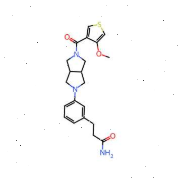 COc1cscc1C(=O)N1CC2CN(c3cccc(CCC(N)=O)c3)CC2C1